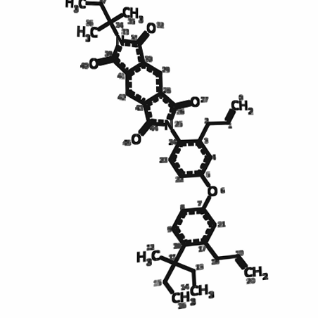 C=CCc1cc(Oc2ccc(C(C)(CC)CC)c(CC=C)c2)ccc1-n1c(=O)c2cc3c(=O)n(C(C)(C)CC)c(=O)c3cc2c1=O